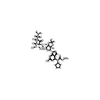 CCOP(=O)(OCC)[C@](COC)(OC[C@H]1O[C@@H](n2ncc3c(N(C(=O)OC(C)(C)C)C4CCCC4)nc(Cl)nc32)[C@@H]2OC(C)(C)O[C@@H]21)C(=O)NS(=O)(=O)N(C)C